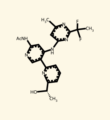 CC(=O)Nc1cc(Nc2cc(C)nc(C(C)(F)F)n2)c(-c2cccc([C@H](C)O)n2)cn1